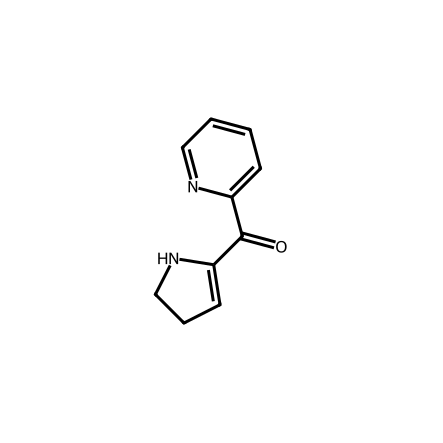 O=C(C1=CCCN1)c1ccccn1